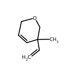 C=CC1(C)C=CCOC1